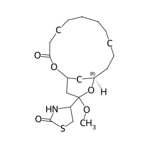 COC1(C2CSC(=O)N2)CC2C[C@@H](CCCCCCCCCC(=O)O2)O1